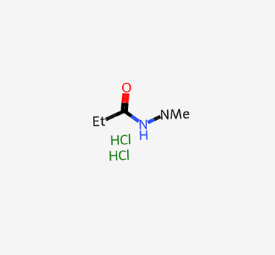 CCC(=O)NNC.Cl.Cl